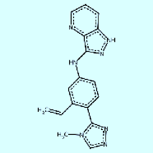 C=Cc1cc(Nc2n[nH]c3cccnc23)ccc1-c1nncn1C